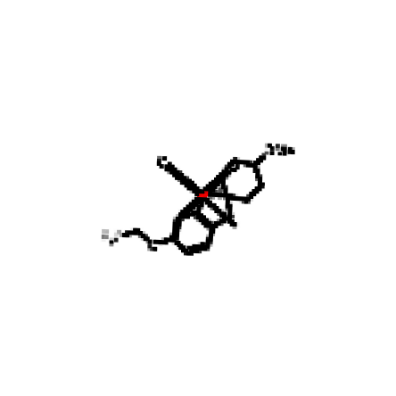 COC1CCC2(CC1)Cc1ccc(OCC(F)(F)F)cc1C21NC(=O)NC1=O